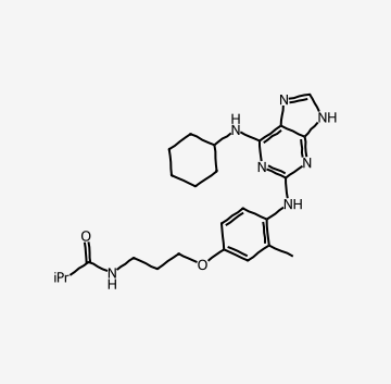 Cc1cc(OCCCNC(=O)C(C)C)ccc1Nc1nc(NC2CCCCC2)c2nc[nH]c2n1